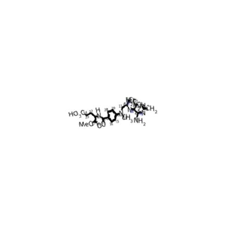 C=C(N)\N=C(N)/C(=N/C(=C\CC)CN(C)c1ccc(C(=O)NC(CCC(=O)O)C(=O)OC)cc1)C(=C)C